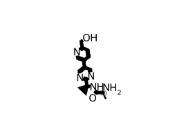 C[C@H](N)C(=O)NC1(c2ncc(-c3ccc(CO)nc3)cn2)CC1